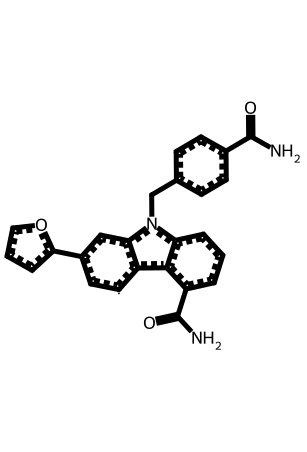 NC(=O)c1ccc(Cn2c3cc(-c4ccco4)c[c]c3c3c(C(N)=O)cccc32)cc1